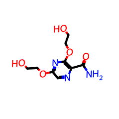 NC(=O)c1ncc(OCCO)nc1OCCO